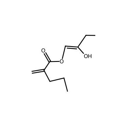 C=C(CCC)C(=O)OC=C(O)CC